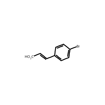 O=C(O)C=Cc1ccc(Br)cc1